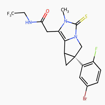 Cn1c(CC(=O)NCC(F)(F)F)c2n(c1=S)C[C@@]1(c3cc(Br)ccc3F)CC21